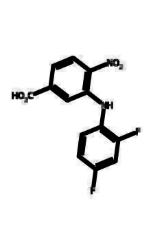 O=C(O)c1ccc([N+](=O)[O-])c(Nc2ccc(F)cc2F)c1